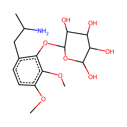 COc1ccc(CC(C)N)c(OC2OC(O)C(O)C(O)C2O)c1OC